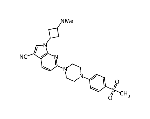 CNC1CC(n2cc(C#N)c3ccc(N4CCN(c5ccc(S(C)(=O)=O)cc5)CC4)nc32)C1